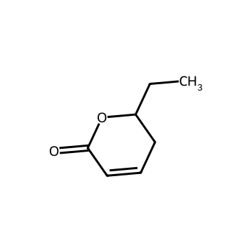 CCC1CC=CC(=O)O1